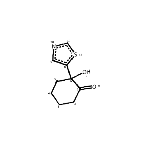 O=C1CCCCC1(O)c1cncs1